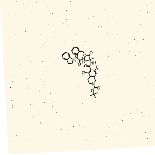 CC(C)(C)OC(=O)N1CCc2c(cc(Cl)c(C(=O)N[C@](C)(CNC(=O)N[C@@H]3CCc4ccccc43)C(=O)OCc3ccccc3)c2Cl)C1